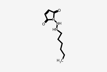 CCCCCCNNN1C(=O)C=CC1=O